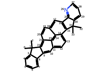 CC1(C)c2ccccc2-c2cc3ccc4c5c(cc6ccc(c21)c3c64)-c1ncccc1C5(C)C